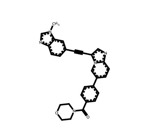 Cn1cnc2ccc(C#Cc3cnc4ccc(-c5ccc(C(=O)N6CCOCC6)cc5)cn34)cc21